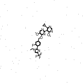 CCn1cc(C(F)(F)F)nc1-c1ccc(COc2nc(-c3c(OC)ncnc3C3CC3)ncc2OC)cc1F